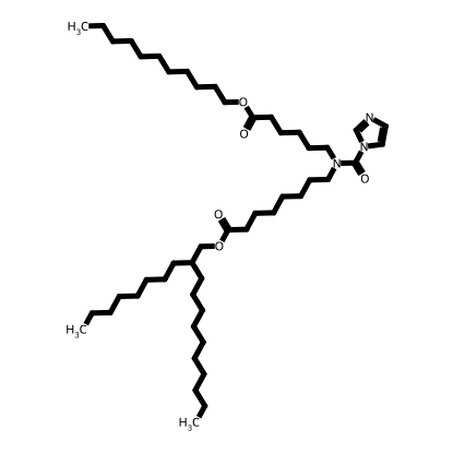 CCCCCCCCCCCOC(=O)CCCCCN(CCCCCCCC(=O)OCC(CCCCCCCC)CCCCCCCCCC)C(=O)n1ccnc1